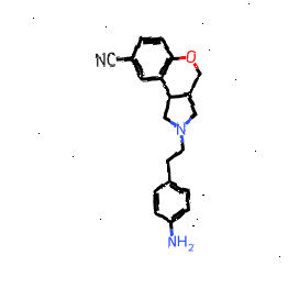 N#Cc1ccc2c(c1)C1CN(CCc3ccc(N)cc3)CC1CO2